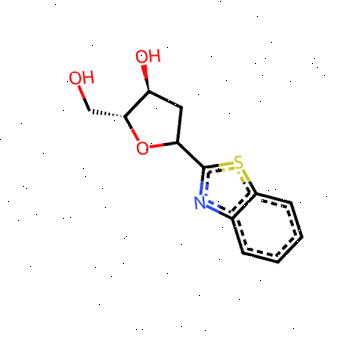 OC[C@H]1OC(c2nc3ccccc3s2)C[C@@H]1O